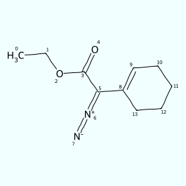 CCOC(=O)C(=[N+]=[N-])C1=CCCCC1